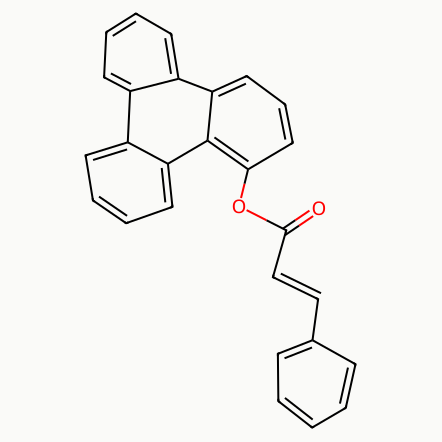 O=C(C=Cc1ccccc1)Oc1cccc2c3ccccc3c3ccccc3c12